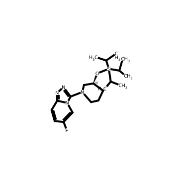 CC(C)[Si](O[C@H]1CCCN(c2nnc3ccc(F)cn23)C1)(C(C)C)C(C)C